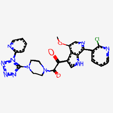 COc1cnc(-c2cccnc2Cl)c2[nH]cc(C(=O)C(=O)N3CCN(c4nnnn4-c4ccccn4)CC3)c12